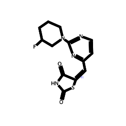 O=C1NC(=O)/C(=C\c2ccnc(N3CCCC(F)C3)n2)S1